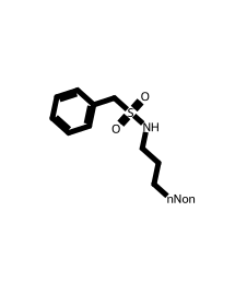 CCCCCCCCCCCCNS(=O)(=O)Cc1ccccc1